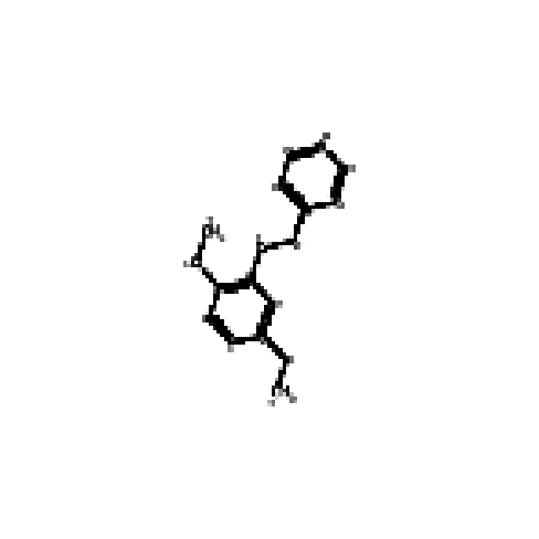 CCc1ccc(OC)c(OCc2ccncc2)c1